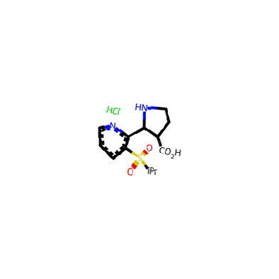 CC(C)S(=O)(=O)c1cccnc1C1NCCC1C(=O)O.Cl